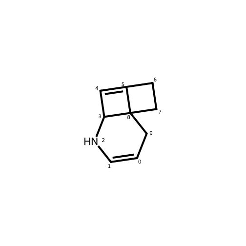 C1=CNC2C=C3CCC32C1